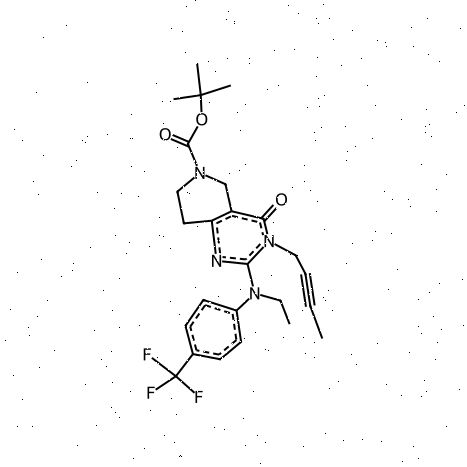 CC#CCn1c(N(CC)c2ccc(C(F)(F)F)cc2)nc2c(c1=O)CN(C(=O)OC(C)(C)C)CC2